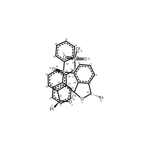 CC[C@@H]1O[C@]2(O[C@@H](CC)c3cccc(P(=O)(c4ccccc4)c4ccccc4)c32)c2c(OS(=O)(=O)C(F)(F)F)cccc21